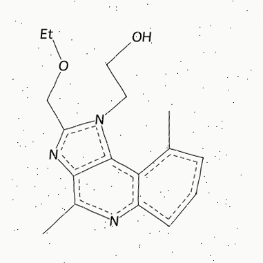 CCOCc1nc2c(C)nc3cccc(C)c3c2n1CCO